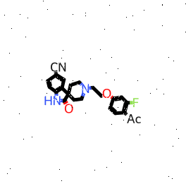 CC(=O)c1ccc(OCCN2CCC3(CC2)C(=O)Nc2ccc(C#N)cc23)cc1F